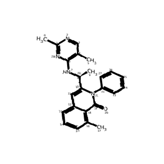 Cc1ncc(C)c(N[C@@H](C)c2cc3cccc(C)c3c(=O)n2-c2ccccc2)n1